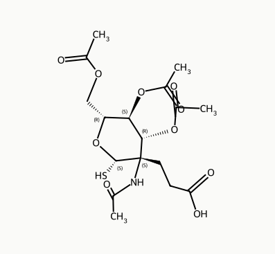 CC(=O)N[C@]1(CCC(=O)O)[C@H](S)O[C@H](COC(C)=O)[C@@H](OC(C)=O)[C@@H]1OC(C)=O